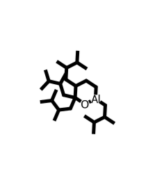 CC(C)C(C)CC1C[CH2][Al]([CH2]C(C)C(C)C)[O]C1(CC(C)C(C)C)CC(C)C(C)C